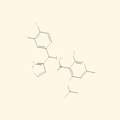 Cc1cc(OC(C)C)c(C(=O)NC(c2ccc(F)c(F)c2)c2ccon2)c(Cl)n1